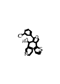 OC(C1=C(c2cccc(Cl)c2)OCC1c1cccs1)c1cccnc1